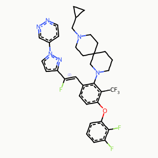 F/C(=C\c1ccc(Oc2cccc(F)c2F)c(C(F)(F)F)c1N1CCCC2(CCN(CC3CC3)CC2)C1)c1ccn(-c2ccnnc2)n1